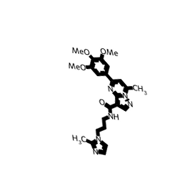 COc1cc(-c2cc(C)n3ncc(C(=O)NCCCn4ccnc4C)c3n2)cc(OC)c1OC